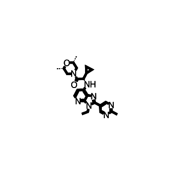 CCn1c(-c2cnc(C)nc2)nc2c(N[C@H](C(=O)N3C[C@@H](C)O[C@@H](C)C3)C3CC3)ccnc21